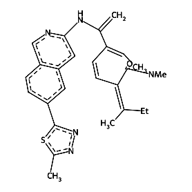 C=C(Nc1cc2cc(-c3nnc(C)s3)ccc2cn1)C(/C=C\C(C(=O)NC)=C(/C)CC)=C/C